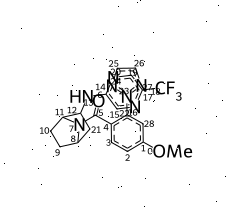 COc1ccc(C(=O)N2C3CCC2C(Nc2cnc(C(F)(F)F)cn2)C3)c(-n2nccn2)c1